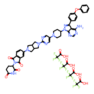 Nc1ncnc2c1c(-c1ccc(Oc3ccccc3)cc1)nn2C1CCN(c2cnc(N3CC4CN(c5ccc6c(c5)C(=O)N(C5CCC(=O)NC5=O)C6=O)CC4C3)nc2)CC1.O=C(O)C(F)(F)F.O=C(O)C(F)(F)F.O=C(O)C(F)(F)F.O=C(O)C(F)(F)F